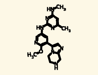 CNc1cc(C)nc(Nc2cnc(OC)c(-c3cnc4n3CCNC4)c2)n1